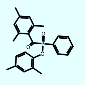 Cc1ccc(OP(=O)(C(=O)c2c(C)cc(C)cc2C)c2ccccc2)c(C)c1